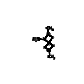 CN1CC2(C1)CN(C)C2N